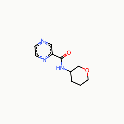 O=C(NC1CCCOC1)c1cnccn1